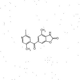 Cc1cnc(I)cc1C(=O)c1cc(C)c2[nH]c(=O)oc2c1